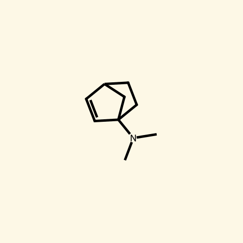 CN(C)C12C=CC(CC1)C2